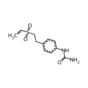 C=CS(=O)(=O)CCc1ccc(NC(N)=O)cc1